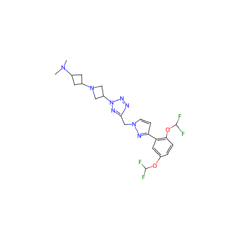 CN(C)C1CC(N2CC(n3nnc(Cn4ccc(-c5cc(OC(F)F)ccc5OC(F)F)n4)n3)C2)C1